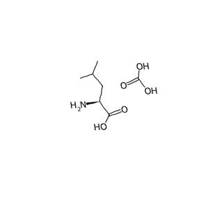 CC(C)C[C@H](N)C(=O)O.O=C(O)O